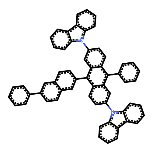 c1ccc(-c2ccc3cc(-c4c5ccc(-n6c7ccccc7c7ccccc76)cc5c(-c5ccccc5)c5ccc(-n6c7ccccc7c7ccccc76)cc45)ccc3c2)cc1